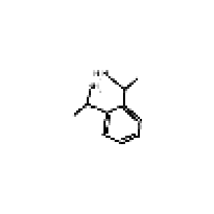 CC(N)c1ccccc1C(C)N